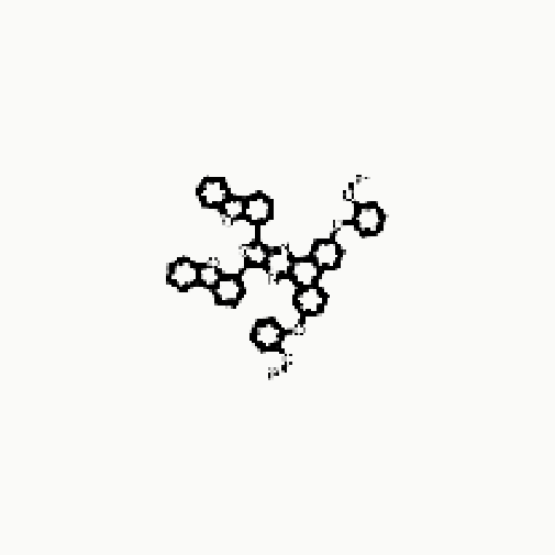 CC(C)Oc1ccccc1Oc1ccc2c3ccc(Oc4ccccc4OC(C)C)cc3c3nc4c(-c5cccc6c5oc5ccccc56)sc(-c5cccc6c5oc5ccccc56)c4nc3c2c1